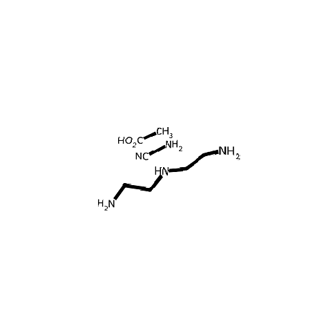 CC(=O)O.N#CN.NCCNCCN